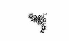 C/C=C/C1=C(C(=O)OCc2ccc(OC)cc2)N2C(=O)[C@@H](NC(=O)Cc3ccccc3)[C@H]2SC1